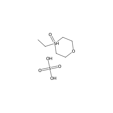 CC[SH]1(=O)CCOCC1.O=S(=O)(O)O